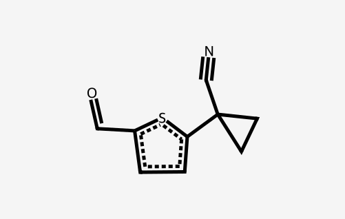 N#CC1(c2ccc(C=O)s2)CC1